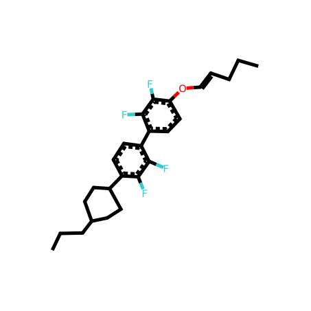 CCC/C=C/Oc1ccc(-c2ccc(C3CCC(CCC)CC3)c(F)c2F)c(F)c1F